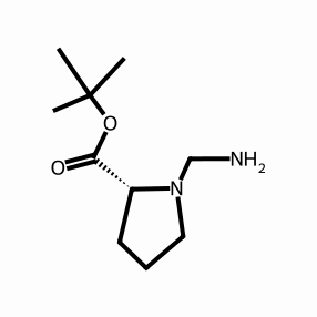 CC(C)(C)OC(=O)[C@H]1CCCN1CN